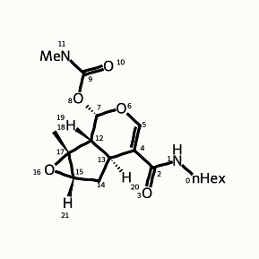 CCCCCCNC(=O)C1=CO[C@@H](OC(=O)NC)[C@@H]2[C@@H]1C[C@@H]1O[C@]21C